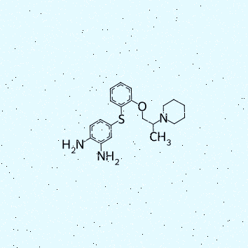 CC(COc1ccccc1Sc1ccc(N)c(N)c1)N1CCCCC1